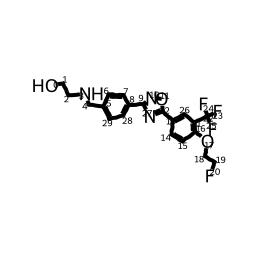 OCCNCc1ccc(-c2noc(-c3ccc(OCCF)c(C(F)(F)F)c3)n2)cc1